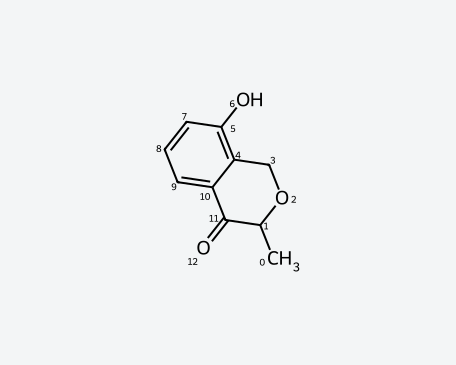 CC1OCc2c(O)cccc2C1=O